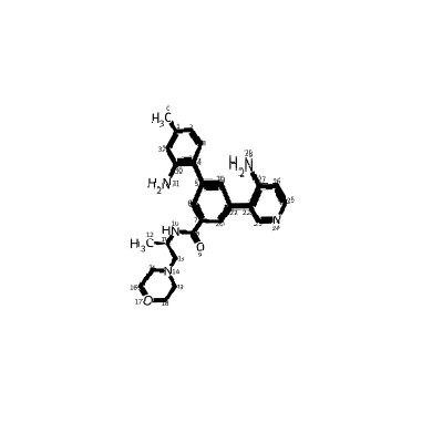 Cc1ccc(-c2cc(C(=O)N[C@H](C)CN3CCOCC3)cc(-c3cnccc3N)c2)c(N)c1